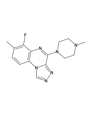 Cc1ccc2c(nc(N3CCN(C)CC3)c3nncn32)c1F